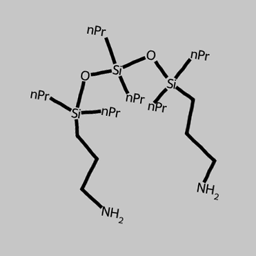 CCC[Si](CCC)(CCCN)O[Si](CCC)(CCC)O[Si](CCC)(CCC)CCCN